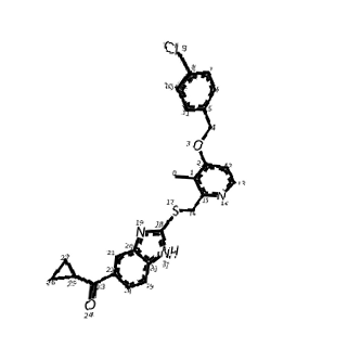 Cc1c(OCc2ccc(Cl)cc2)ccnc1CSc1nc2cc(C(=O)C3CC3)ccc2[nH]1